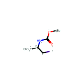 CCOC(=O)[C@H](CI)NC(=O)OC(C)(C)C